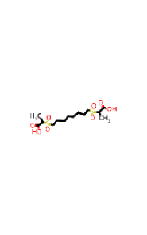 CC(C(=O)O)S(=O)(=O)CCCCCCCCS(=O)(=O)C(C)C(=O)O